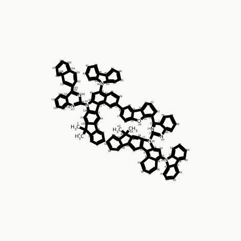 CC1(C)c2ccccc2-c2cc3c4c5cc(-c6ccc7oc8c(-c9nc(-n%10c%11cc%12c(cc%11c%11c%13ccccc%13c(-n%13c%14ccccc%14c%14ccccc%14%13)cc%11%10)-c%10ccccc%10C%12(C)C)nc%10ccccc9%10)cccc8c7c6)ccc5c(-n5c6ccccc6c6ccccc65)cc4n(-c4nc(-c5ccc6ccccc6c5)c5ccccc5n4)c3cc21